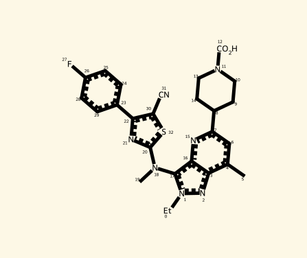 CCn1nc2c(C)cc(C3CCN(C(=O)O)CC3)nc2c1N(C)c1nc(-c2ccc(F)cc2)c(C#N)s1